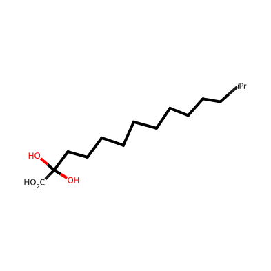 CC(C)CCCCCCCCCCC(O)(O)C(=O)O